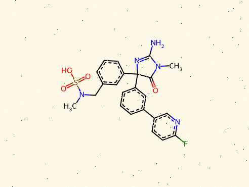 CN1C(=O)C(c2cccc(CN(C)S(=O)(=O)O)c2)(c2cccc(-c3ccc(F)nc3)c2)N=C1N